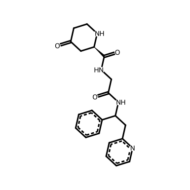 O=C1CCN[C@@H](C(=O)NCC(=O)NC(Cc2ccccn2)c2ccccc2)C1